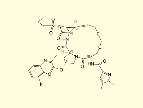 Cc1nc2cccc(F)c2nc1O[C@@H]1C[C@H]2C(=O)N[C@]3(C(=O)NS(=O)(=O)C4(C)CC4)C[C@H]3C=CCCCCC[C@H](NC(=O)c3cc(C)n(C)n3)C(=O)N2C1